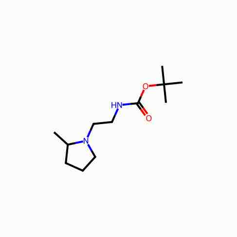 CC1CCCN1CCNC(=O)OC(C)(C)C